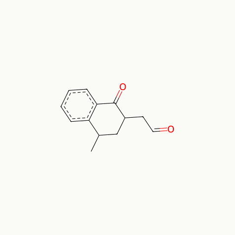 CC1CC(CC=O)C(=O)c2ccccc21